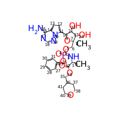 C[C@H](NP(=O)(OC[C@@]1(C)O[C@@H](c2ccc3c(N)ncnn23)[C@H](O)[C@@H]1O)Oc1ccccc1)C(=O)OCC1CCOCC1